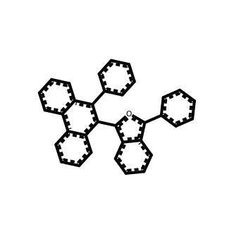 c1ccc(-c2oc(-c3c(-c4ccccc4)c4ccccc4c4ccccc34)c3ccccc23)cc1